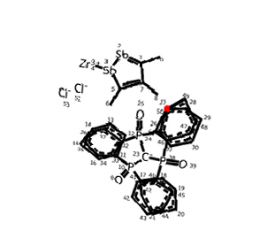 C[C]1=[Sb][Sb]([Zr+3])[C](C)=C1C.O=P(c1ccccc1)(c1ccccc1)[C-](P(=O)(c1ccccc1)c1ccccc1)P(=O)(c1ccccc1)c1ccccc1.[Cl-].[Cl-]